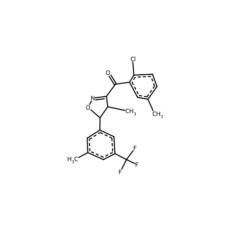 Cc1cc(C2ON=C(C(=O)c3cc(C)ccc3Cl)C2C)cc(C(F)(F)F)c1